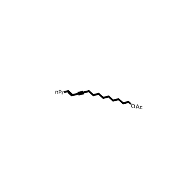 CCCC=CC#CCCCCCCCCCOC(C)=O